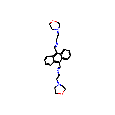 C(=NCCN1CCOCC1)c1c2ccccc2c(C=NCCN2CCOCC2)c2ccccc12